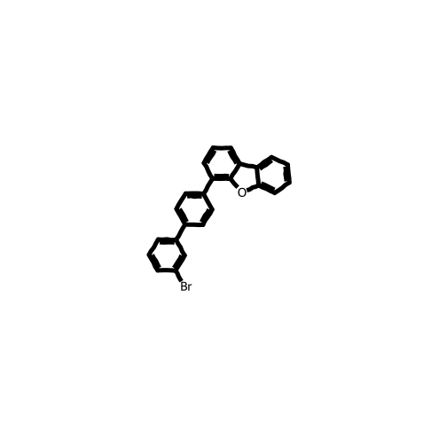 Brc1cccc(-c2ccc(-c3cccc4c3oc3ccccc34)cc2)c1